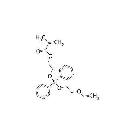 C=COCCO[Si](OCCOC(=O)C(=C)C)(c1ccccc1)c1ccccc1